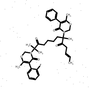 CC=CCC(=O)C(C)(CCCCC(=O)C(C)(C)N1COC(C)=C(c2ccccc2F)C1=O)N1COC(C)=C(c2ccccc2)C1=O